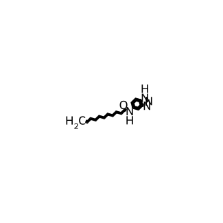 C=CCCCCCCCCC(=O)Nc1ccc2[nH]nnc2c1